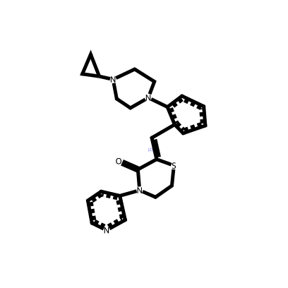 O=C1/C(=C/c2ccccc2N2CCN(C3CC3)CC2)SCCN1c1cccnc1